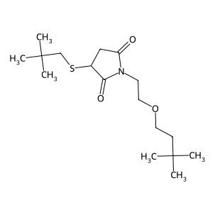 CC(C)(C)CCOCCN1C(=O)CC(SCC(C)(C)C)C1=O